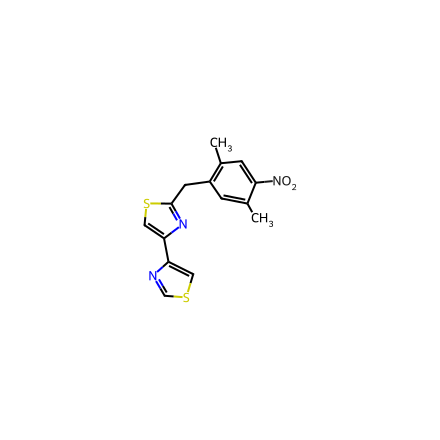 Cc1cc([N+](=O)[O-])c(C)cc1Cc1nc(-c2cscn2)cs1